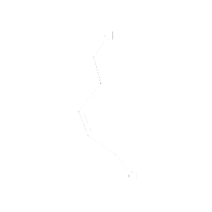 ClC/C=C\CCCl